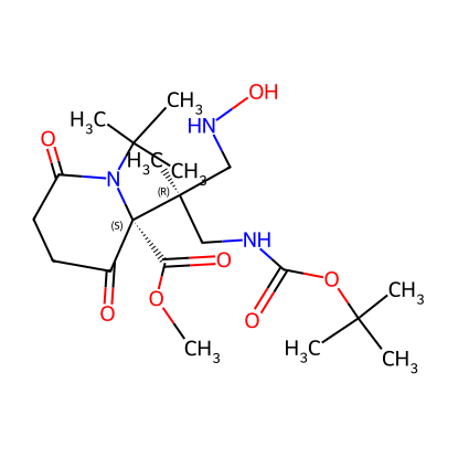 COC(=O)[C@]1([C@@](C)(CNO)CNC(=O)OC(C)(C)C)C(=O)CCC(=O)N1C(C)(C)C